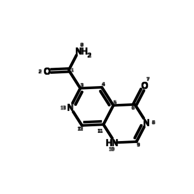 NC(=O)c1cc2c(=O)nc[nH]c2cn1